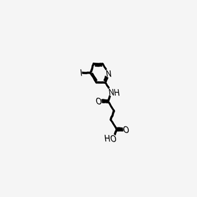 O=C(O)CCC(=O)Nc1cc(I)ccn1